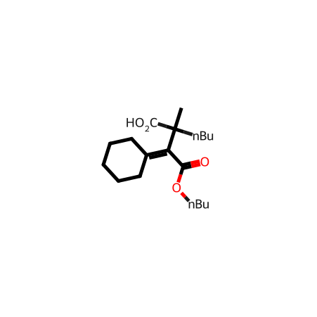 CCCCOC(=O)C(=C1CCCCC1)C(C)(CCCC)C(=O)O